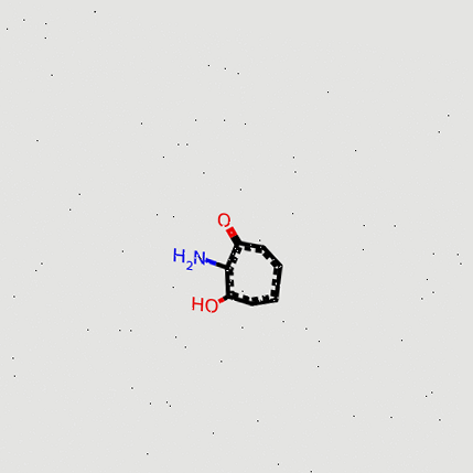 Nc1c(O)ccccc1=O